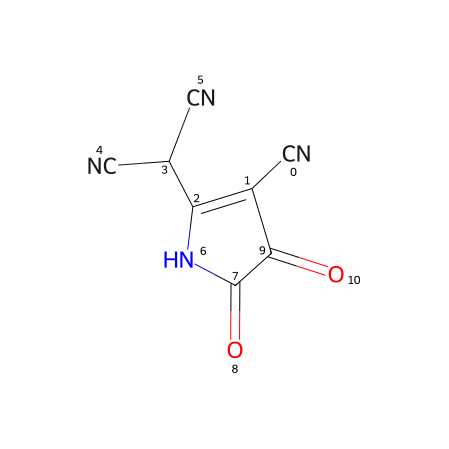 N#CC1=C(C(C#N)C#N)NC(=O)C1=O